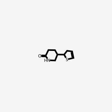 O=C1CCC(C2CC=CS2)CN1